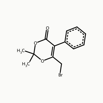 CC1(C)OC(=O)C(c2ccccc2)=C(CBr)O1